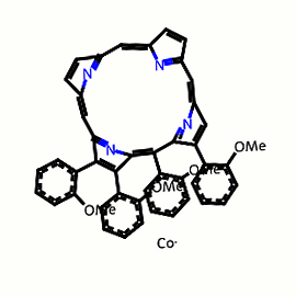 COc1ccccc1C1=CC2=CC3=NC(=CC4=NC(=CC5=NC(=C(c6ccccc6OC)C1=N2)C(c1ccccc1OC)=C5c1ccccc1OC)C=C4)C=C3.[Co]